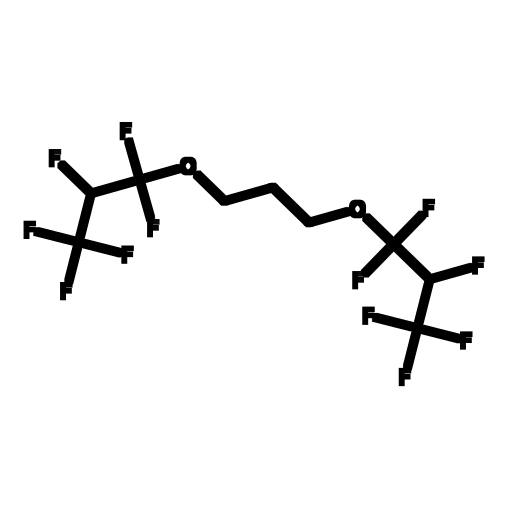 FC(C(F)(F)F)C(F)(F)OCCCOC(F)(F)C(F)C(F)(F)F